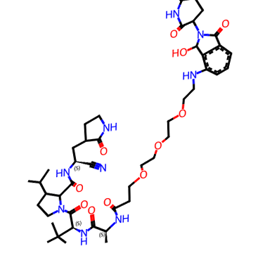 CC(C)C1CCN(C(=O)[C@@H](NC(=O)[C@H](C)NC(=O)CCOCCOCCOCCNc2cccc3c2C(O)N(C2CCC(=O)NC2=O)C3=O)C(C)(C)C)C1C(=O)N[C@H](C#N)CC1CCNC1=O